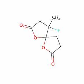 CC1(F)CC(=O)OC12CCC(=O)O2